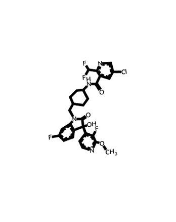 COc1nccc(C2(O)C(=O)N(CC3CCC(NC(=O)c4cc(Cl)cnc4C(F)F)CC3)c3cc(F)ccc32)c1F